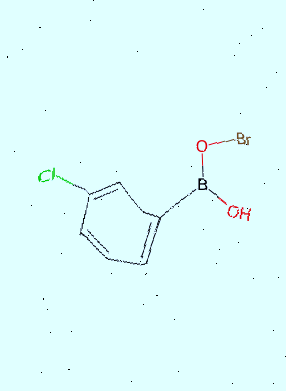 OB(OBr)c1cccc(Cl)c1